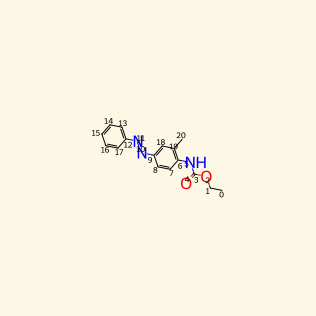 CCOC(=O)Nc1ccc(N=Nc2ccccc2)cc1C